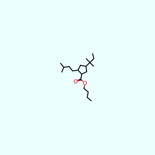 CCCCOC(=O)C1CC(C(C)(C)CC)CC1CCC(C)C